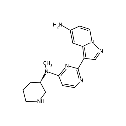 CN(c1ccnc(-c2cnn3ccc(N)cc23)n1)[C@@H]1CCCNC1